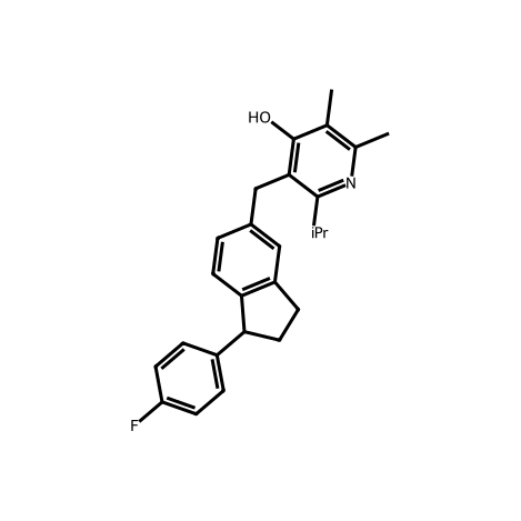 Cc1nc(C(C)C)c(Cc2ccc3c(c2)CCC3c2ccc(F)cc2)c(O)c1C